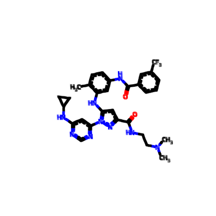 Cc1ccc(NC(=O)c2cccc(C(F)(F)F)c2)cc1Nc1cc(C(=O)NCCN(C)C)nn1-c1cc(NC2CC2)ncn1